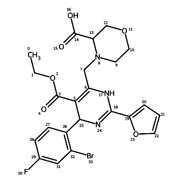 CCOC(=O)C1=C(CN2CCOCC2C(=O)O)NC(c2ccco2)=NC1c1ccc(F)cc1Br